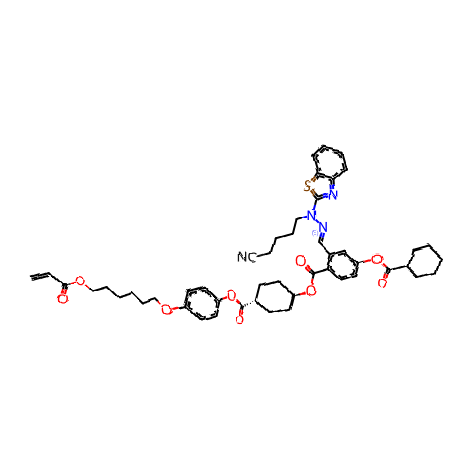 C=CC(=O)OCCCCCCOc1ccc(OC(=O)[C@H]2CC[C@H](OC(=O)c3ccc(OC(=O)C4CCCCC4)cc3/C=N/N(CCCCC#N)c3nc4ccccc4s3)CC2)cc1